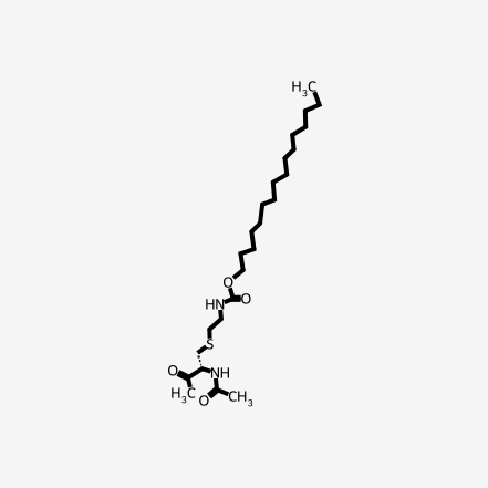 CCCCCCCCCCCCCCCCOC(=O)NCCSC[C@H](NC(C)=O)C(C)=O